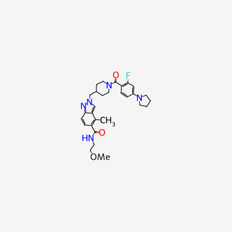 COCCNC(=O)c1ccc2nn(CC3CCN(C(=O)c4ccc(N5CCCC5)cc4F)CC3)cc2c1C